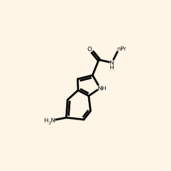 CCCNC(=O)c1cc2cc(N)ccc2[nH]1